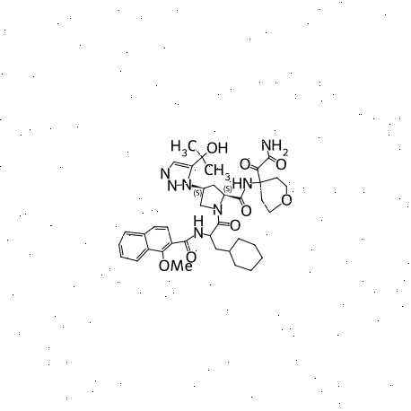 COc1c(C(=O)NC(CC2CCCCC2)C(=O)N2C[C@@H](n3nncc3C(C)(C)O)C[C@H]2C(=O)NC2(C(=O)C(N)=O)CCOCC2)ccc2ccccc12